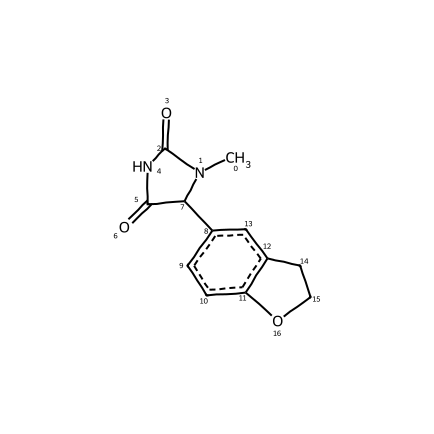 CN1C(=O)NC(=O)C1c1ccc2c(c1)CCO2